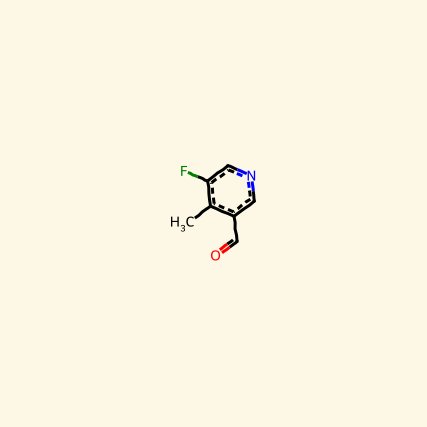 Cc1c(F)cncc1C=O